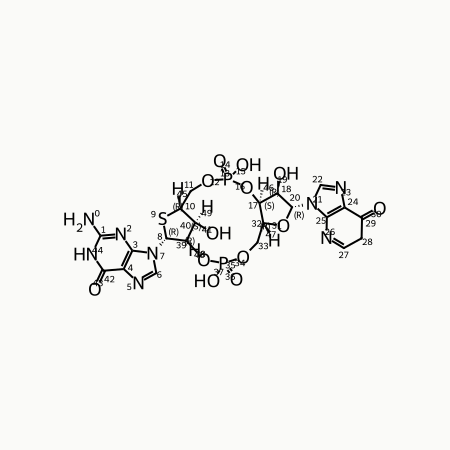 Nc1nc2c(ncn2[C@@H]2S[C@@H]3COP(=O)(O)O[C@H]4[C@@H](O)[C@H](n5cnc6c5N=CCC6=O)O[C@@H]4COP(=O)(O)O[C@@H]2[C@@H]3O)c(=O)[nH]1